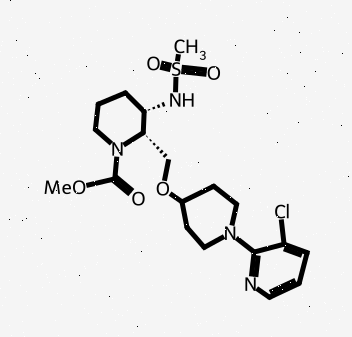 COC(=O)N1CCC[C@H](NS(C)(=O)=O)[C@@H]1COC1CCN(c2ncccc2Cl)CC1